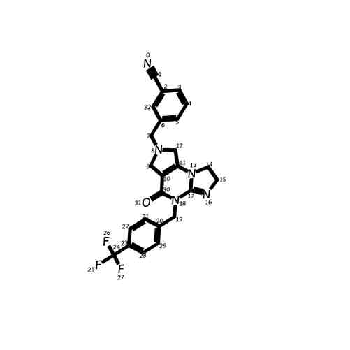 N#Cc1cccc(CN2CC3=C(C2)N2CCN=C2N(Cc2ccc(C(F)(F)F)cc2)C3=O)c1